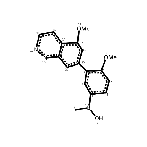 COc1ccc(B(C)O)cc1-c1cc(OC)c2ccnnc2c1